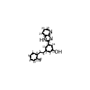 Oc1cc(CCc2ccccc2F)cc(-c2nc3ncccc3[nH]2)c1